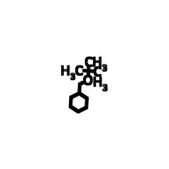 CC(C)(C)OCC1CCCCC1